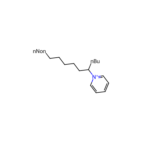 CCCCCCCCCCCCCCC(CCCC)[n+]1ccccc1